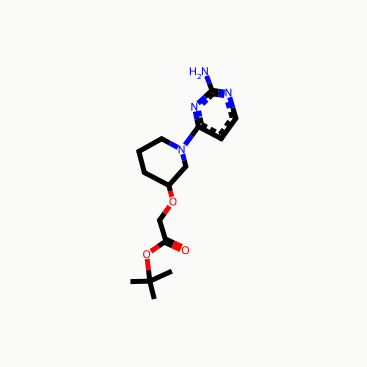 CC(C)(C)OC(=O)COC1CCCN(c2ccnc(N)n2)C1